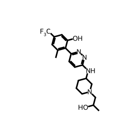 Cc1cc(C(F)(F)F)cc(O)c1-c1ccc(NC2CCCN(CC(C)O)C2)nn1